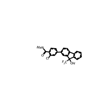 CNC(=O)c1ccc(-c2ccc3c(c2)C(O)(C(F)(F)F)c2ccccc2-3)cc1Cl